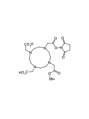 CC(C)(C)OC(=O)CN1CCN(CC(=O)O)CCN(CC(=O)O)CCN(CC(=O)ON2C(=O)CCC2=O)CC1